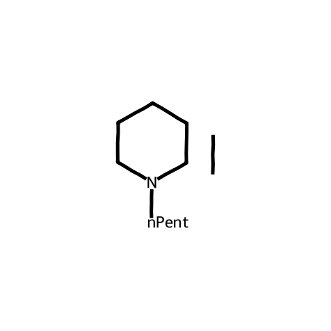 CC.CCCCCN1CCCCC1